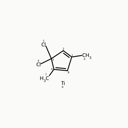 CC1=CC(Cl)(Cl)C(C)=C1.[Ti]